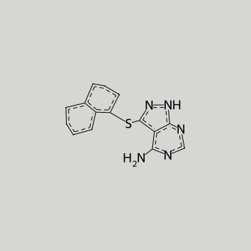 Nc1ncnc2[nH]nc(Sc3cccc4ccccc34)c12